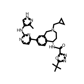 Cc1n[nH]cc1Nc1nccc(-c2ccc3c(c2)CN(CC2CC2)CC[C@@H]3NC(=O)c2nnc(C(C)(C)C)o2)n1